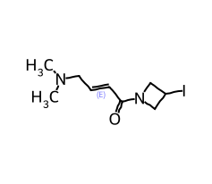 CN(C)C/C=C/C(=O)N1CC(I)C1